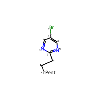 CCCCCCCc1ncc(Br)cn1